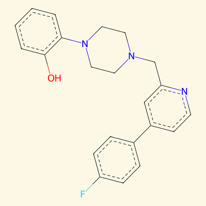 Oc1ccccc1N1CCN(Cc2cc(-c3ccc(F)cc3)ccn2)CC1